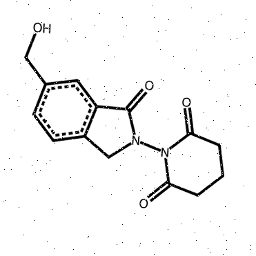 O=C1c2cc(CO)ccc2CN1N1C(=O)CCCC1=O